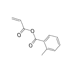 C=CC(=O)OC(=O)c1ccccc1C